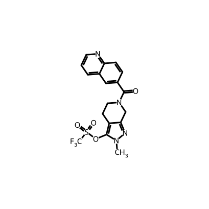 Cn1nc2c(c1OS(=O)(=O)C(F)(F)F)CCN(C(=O)c1ccc3ncccc3c1)C2